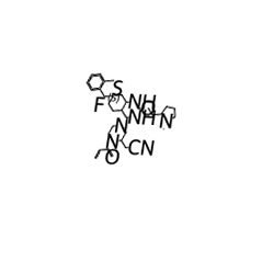 C=CC(=O)N1CCN(C2NC(OCC3CCCN3C)NC3C[C@]4(CCC32)SCc2ccccc2C4F)CC1CC#N